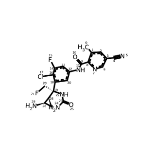 Cc1cc(C#N)cnc1C(=O)Nc1cc(F)c(Cl)c([C@@](CF)(NC(N)=O)[C@H]2C[C@H]2N)c1